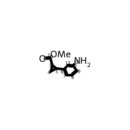 COC(=O)C1CC1c1cccc(N)c1